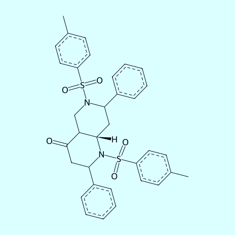 Cc1ccc(S(=O)(=O)N2CC3C(=O)CC(c4ccccc4)N(S(=O)(=O)c4ccc(C)cc4)[C@H]3CC2c2ccccc2)cc1